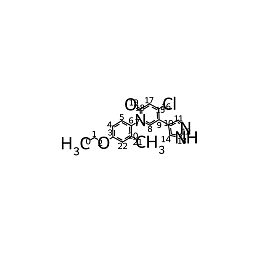 CCOc1ccc(-n2cc(-c3cn[nH]c3)c(Cl)cc2=O)c(C)c1